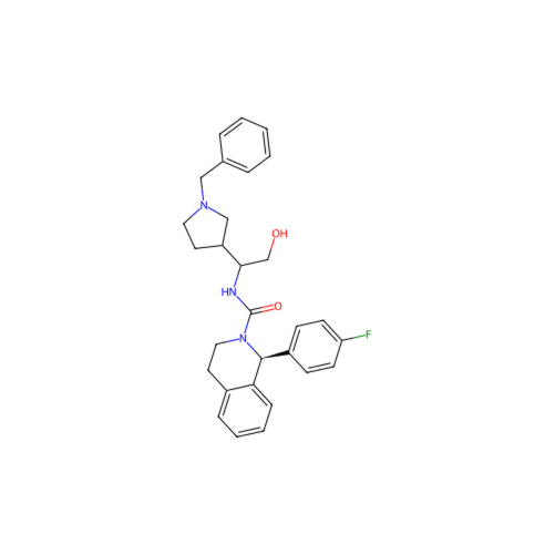 O=C(NC(CO)C1CCN(Cc2ccccc2)C1)N1CCc2ccccc2[C@@H]1c1ccc(F)cc1